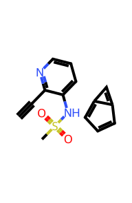 C#Cc1ncccc1NS(C)(=O)=O.c1cc2cc-2c1